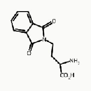 NC(CCN1C(=O)c2ccccc2C1=O)C(=O)O